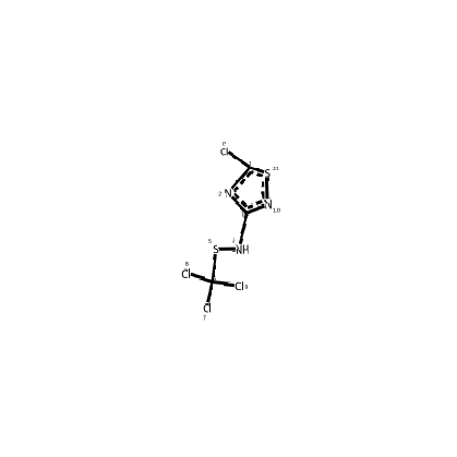 Clc1nc(NSC(Cl)(Cl)Cl)ns1